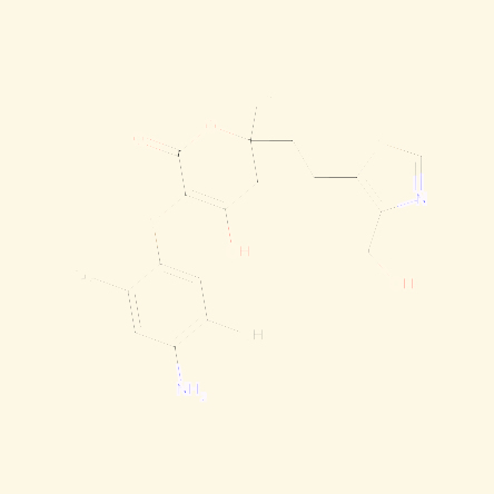 Cc1cc(SC2=C(O)CC(CCc3scnc3CO)(C(C)C)OC2=O)c(C(C)(C)C)cc1N